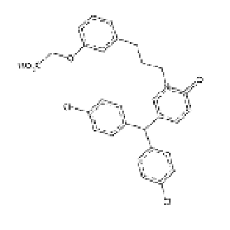 O=C(O)COc1cccc(CCCn2cc(C(c3ccc(Cl)cc3)c3ccc(Cl)cc3)ccc2=O)c1